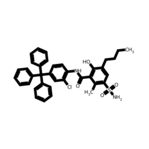 CCCCc1cc(S(N)(=O)=O)c(C)c(C(=O)Nc2ccc(C(c3ccccc3)(c3ccccc3)c3ccccc3)cc2Cl)c1O